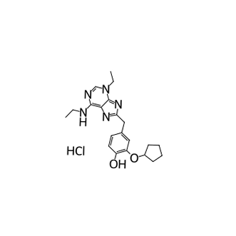 CCNc1ncn(CC)c2nc(Cc3ccc(O)c(OC4CCCC4)c3)nc1-2.Cl